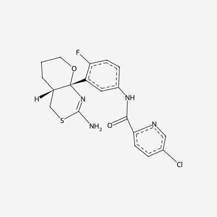 NC1=N[C@@]2(c3cc(NC(=O)c4ccc(Cl)cn4)ccc3F)OCCC[C@H]2CS1